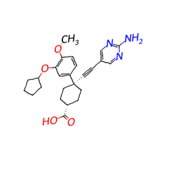 COc1ccc([C@]2(C#Cc3cnc(N)nc3)CC[C@@H](C(=O)O)CC2)cc1OC1CCCC1